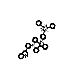 c1ccc(-c2nc(-c3ccccc3)nc(-c3ccc(-n4c5c(c6ccccc64)-c4ccccc4N(c4cccc(-c6cnc7ccccc7c6)c4)c4ccccc4-5)cc3)n2)cc1